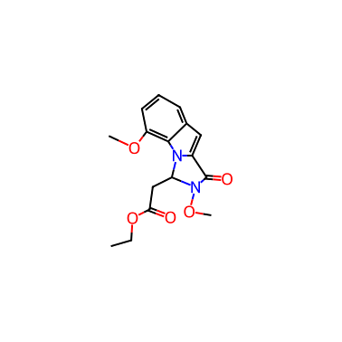 CCOC(=O)CC1N(OC)C(=O)c2cc3cccc(OC)c3n21